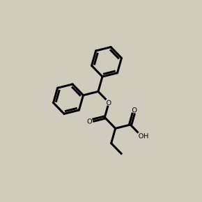 CCC(C(=O)O)C(=O)OC(c1ccccc1)c1ccccc1